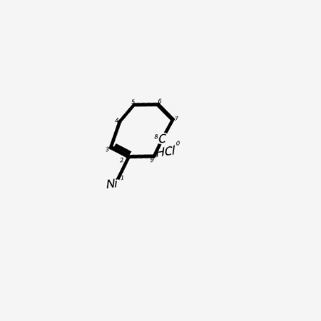 Cl.[Ni][C]1=CCCCCCC1